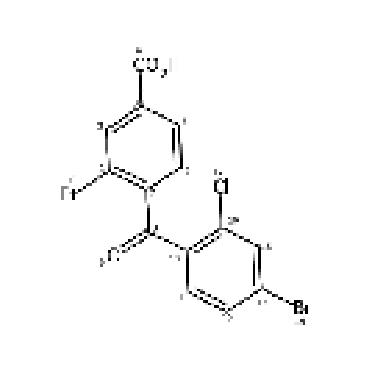 CCc1cc(C(=O)O)ccc1C(=O)c1ccc(Br)cc1Cl